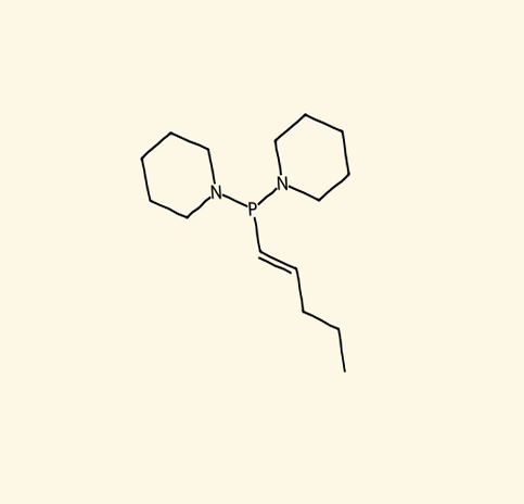 CCCC=CP(N1CCCCC1)N1CCCCC1